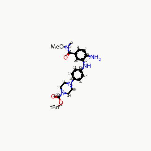 CON(C)C(=O)c1ccc(N)c(Nc2ccc(N3CCN(C(=O)OC(C)(C)C)CC3)cc2)c1